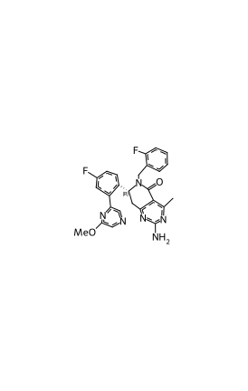 COc1cncc(-c2cc(F)ccc2[C@H]2Cc3nc(N)nc(C)c3C(=O)N2Cc2ccccc2F)n1